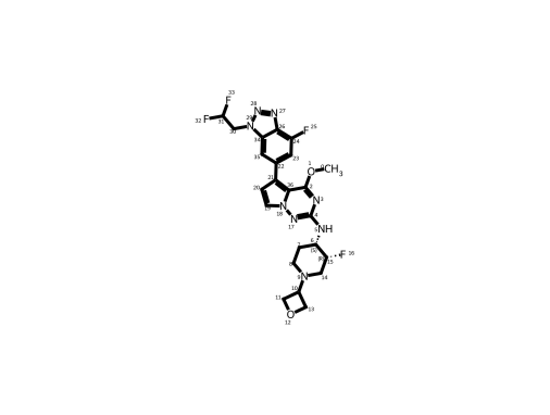 COc1nc(N[C@H]2CCN(C3COC3)C[C@H]2F)nn2ccc(-c3cc(F)c4nnn(CC(F)F)c4c3)c12